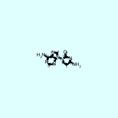 Nc1ccn(-n2cnc3c(N)ncnc32)c(=O)n1